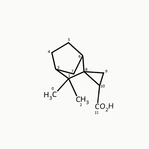 CC1(C)C2CCC(C2)C12CC2C(=O)O